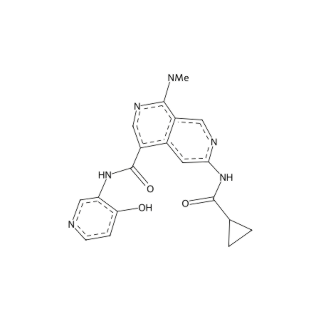 CNc1ncc(C(=O)Nc2cnccc2O)c2cc(NC(=O)C3CC3)ncc12